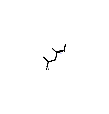 CCC(C)C(C)C/C(C)=N/C